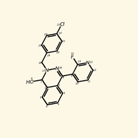 OC1c2ccccc2C(c2cccnc2F)=NN1Cc1ccc(Cl)cc1